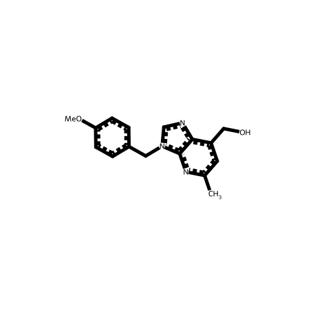 COc1ccc(Cn2cnc3c(CO)cc(C)nc32)cc1